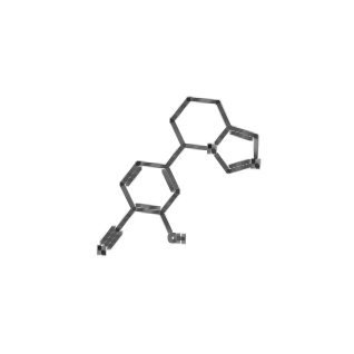 N#Cc1ccc(C2CCCc3cncn32)cc1O